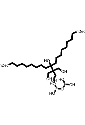 CCCCCCCCCCCCCCCCCCC(O)(CCCCCCCCCCCCCCCCCC)C(CO)(CO)CO.OP(O)OP(O)O